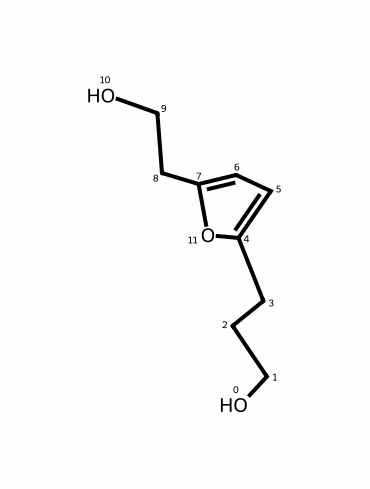 OCCCc1ccc(CCO)o1